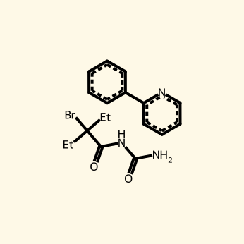 CCC(Br)(CC)C(=O)NC(N)=O.c1ccc(-c2ccccn2)cc1